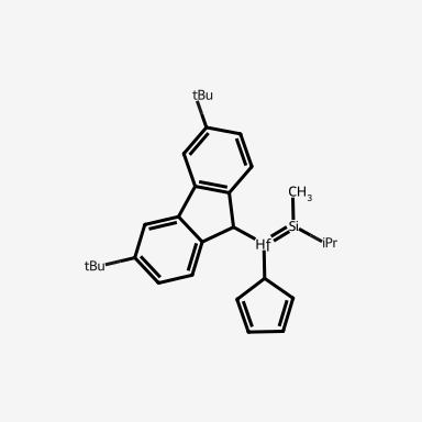 CC(C)[Si](C)=[Hf]([CH]1C=CC=C1)[CH]1c2ccc(C(C)(C)C)cc2-c2cc(C(C)(C)C)ccc21